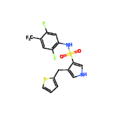 O=S(=O)(Nc1cc(F)c(C(F)(F)F)cc1F)c1c[nH]cc1Cc1cccs1